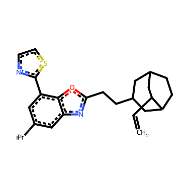 C=CC1CC2CCC1CC(CCc1nc3cc(C(C)C)cc(-c4nccs4)c3o1)C2